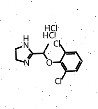 CC(Oc1c(Cl)cccc1Cl)C1=NCCN1.Cl.Cl